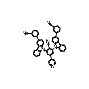 N#Cc1cccc(-c2ccc3c(c2)c2ccccc2n3-c2cc(-c3ccncc3)cc(-n3c4ccccc4c4cc(-c5cccc(C#N)c5)ccc43)c2C#N)c1